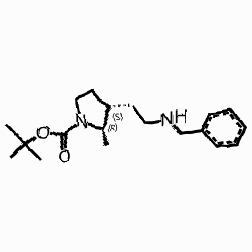 C[C@@H]1[C@@H](CCNCc2ccccc2)CCN1C(=O)OC(C)(C)C